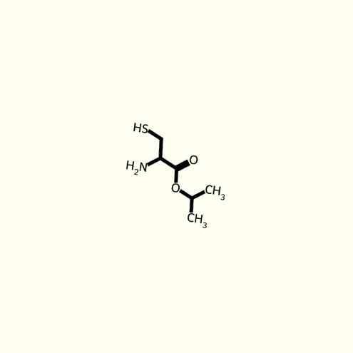 CC(C)OC(=O)C(N)CS